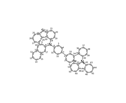 c1cc(-c2ccc(N(c3ccc4ccccc4c3)c3cccc4sc5ccccc5c34)cc2)cc(-c2ccccc2-n2c3ccccc3c3ccccc32)c1